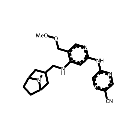 COOCc1cnc(Nc2cnc(C#N)cn2)cc1NCC1CC2CCC(C1)N2C